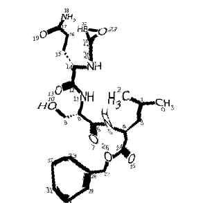 CC(C)C[C@H](NC(=O)[C@H](CO)NC(=O)[C@H](CCC(N)=O)NC1BO1)C(=O)OCc1ccccc1